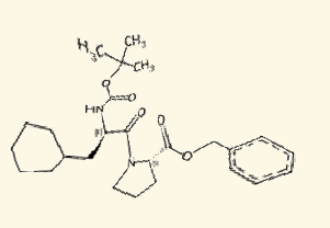 CC(C)(C)OC(=O)N[C@H](CC1CCCCC1)C(=O)N1CCC[C@H]1C(=O)OCc1ccccc1